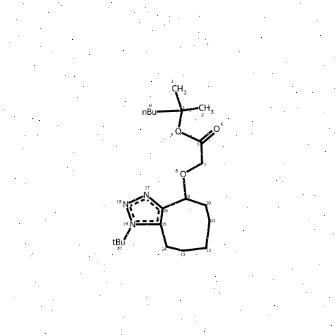 CCCCC(C)(C)OC(=O)COC1CCCCCc2c1nnn2C(C)(C)C